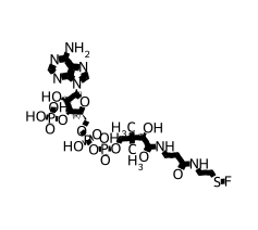 CC(C)(COP(=O)(O)OP(=O)(O)OC[C@H]1O[C@@H](n2cnc3c(N)ncnc32)[C@H](O)[C@@H]1OP(=O)(O)O)[C@@H](O)C(=O)NCCC(=O)NCCSF